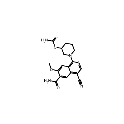 COc1cc2c(N3CCCC(OC(N)=O)C3)ncc(C#N)c2cc1C(N)=O